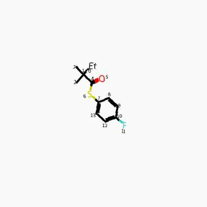 CCC(C)(C)C(=O)Sc1ccc(F)cc1